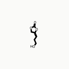 O=C1OC/C(=C\CCO)O1